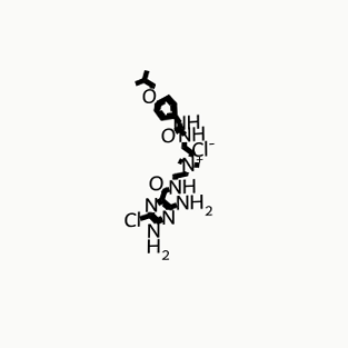 CC(C)COc1ccc(NC(=O)NCC[N+](C)(C)CCNC(=O)c2nc(Cl)c(N)nc2N)cc1.[Cl-]